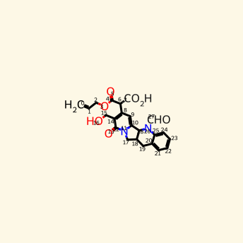 C=CCOC(=O)C(C(=O)O)c1cc2n(c(=O)c1CO)CC1Cc3ccccc3N(C=O)C21